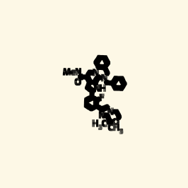 CNC(=O)c1cnc(N(Cc2ccccc2)Cc2ccccc2)c2[nH]c(-c3cccc(-c4cn5c(n4)C(C)(C)OCC5)c3F)cc12